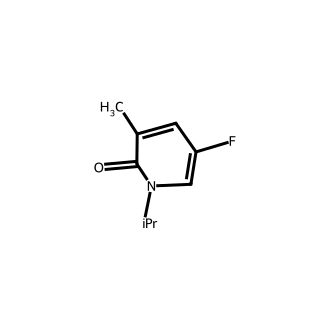 Cc1cc(F)cn(C(C)C)c1=O